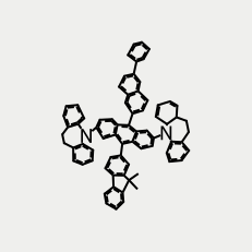 CC1(C)c2ccccc2-c2ccc(-c3c4ccc(N5c6ccccc6CCC6C=CC=CC65)cc4c(-c4ccc5cc(-c6ccccc6)ccc5c4)c4ccc(N5c6ccccc6CCc6ccccc65)cc34)cc21